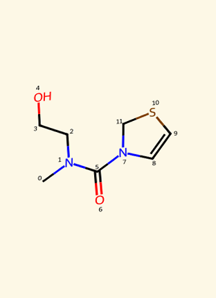 CN(CCO)C(=O)N1C=CSC1